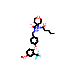 CCCCC(=O)NC1(C(=O)NCc2ccc(Oc3ccc(OC)cc3C(F)(F)F)cc2)CCOCC1